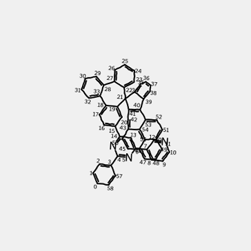 c1ccc(-c2nc(-c3cccnc3)cc(-c3ccc4c(c3)C3(c5ccccc5-c5ccccc5-4)c4ccccc4-c4c3cc3ccc5cccc6ccc4c3c56)n2)cc1